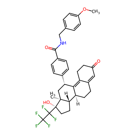 COc1ccc(CNC(=O)c2ccc([C@H]3C[C@@]4(C)[C@@H](CC[C@@]4(O)C(F)(F)C(F)(F)F)[C@@H]4CCC5=CC(=O)CCC5=C43)cc2)cc1